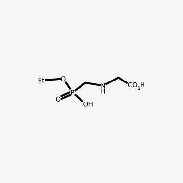 CCOP(=O)(O)CNCC(=O)O